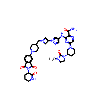 CN1CCN([C@@H]2CCCN(c3cnc(C(N)=O)c(Nc4cnn(C5CN(CC6CCN(c7ccc8c(c7)C(=O)N([C@@H]7CCCNC7=O)C8=O)CC6)C5)c4)n3)C2)C1=O